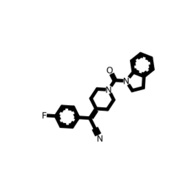 N#CC(=C1CCN(C(=O)N2CCc3ccccc32)CC1)c1ccc(F)cc1